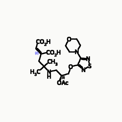 CC(=O)O[C@@H](CNC(C)(C)C/C(=C/C(=O)O)C(=O)O)COc1nsnc1N1CCOCC1